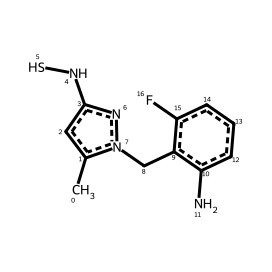 Cc1cc(NS)nn1Cc1c(N)cccc1F